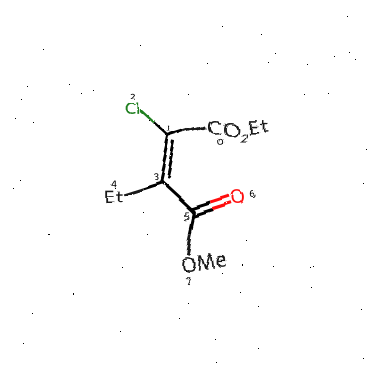 CCOC(=O)/C(Cl)=C(/CC)C(=O)OC